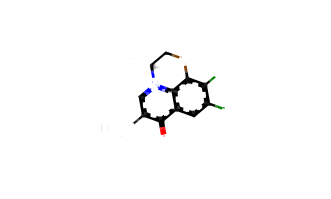 C[C@@H]1CSc2c(Cl)c(F)cc3c(=O)c(C(=O)O)cn1c23